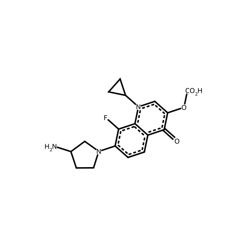 NC1CCN(c2ccc3c(=O)c(OC(=O)O)cn(C4CC4)c3c2F)C1